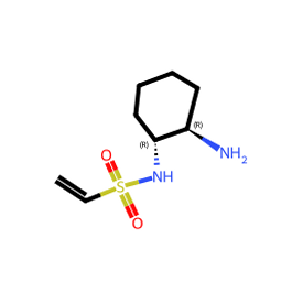 C=CS(=O)(=O)N[C@@H]1CCCC[C@H]1N